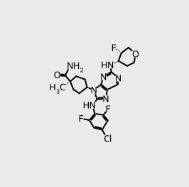 C[C@]1(C(N)=O)CC[C@@H](n2c(Nc3c(F)cc(Cl)cc3F)nc3cnc(N[C@H]4CCOC[C@H]4F)nc32)CC1